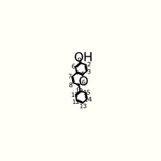 Oc1ccc2c(c1)C=CC(c1ccccc1)O2